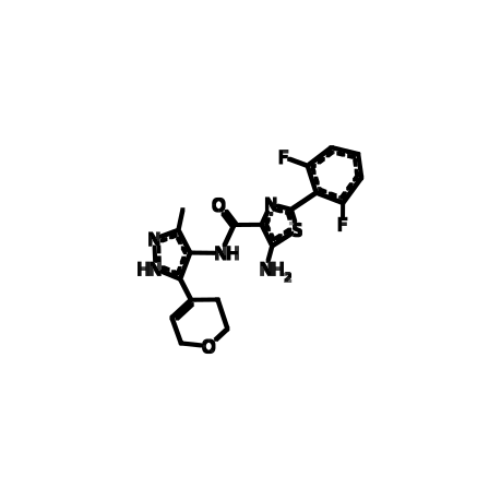 Cc1n[nH]c(C2=CCOCC2)c1NC(=O)c1nc(-c2c(F)cccc2F)sc1N